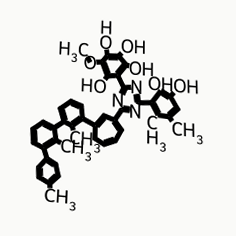 COc1c(O)c(O)c(O)c(-c2nc(C3=CC=CCC(c4cccc(-c5cccc(-c6ccc(C)cc6)c5C)c4C)=C3)nc(-c3c(C)c(C)cc(O)c3O)n2)c1O